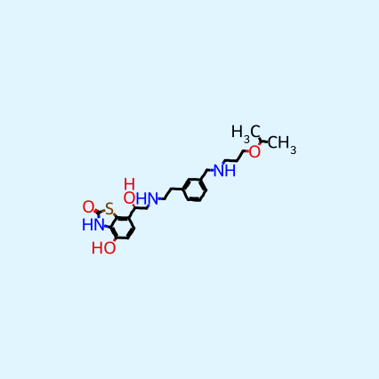 CC(C)OCCCNCc1cccc(CCNC[C@H](O)c2ccc(O)c3[nH]c(=O)sc23)c1